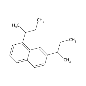 CCC(C)c1ccc2cccc(C(C)CC)c2c1